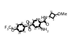 CO[C@H]1C[C@H](NC(=O)c2ncc(S(=O)(=O)c3ccc(OC(F)(F)F)cc3)cc2N)C1